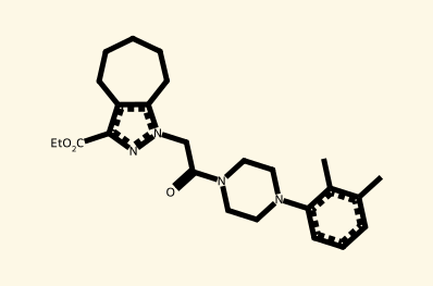 CCOC(=O)c1nn(CC(=O)N2CCN(c3cccc(C)c3C)CC2)c2c1CCCCC2